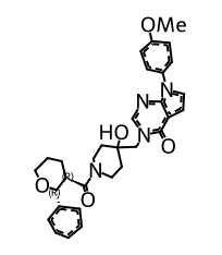 COc1ccc(-n2ccc3c(=O)n(CC4(O)CCN(C(=O)[C@@H]5CCCO[C@H]5c5ccccc5)CC4)cnc32)cc1